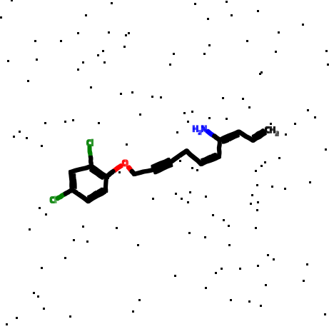 C=C/C=C(N)\C=C/CC#CCOc1ccc(Cl)cc1Cl